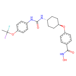 CC(F)(I)Oc1ccc(NC(=O)N[C@H]2CC[C@H](Oc3ccc(C(=O)NO)cc3)CC2)cc1